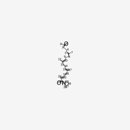 CC(=O)CCC=C(C)CCC=C(C)CCC=C(C)CCC=C(C)C(=O)N1CCCC1